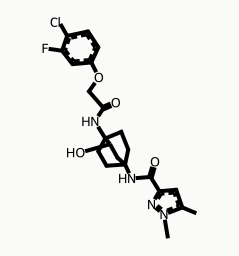 Cc1cc(C(=O)NC23CCC(NC(=O)COc4ccc(Cl)c(F)c4)(CC2)C(O)C3)nn1C